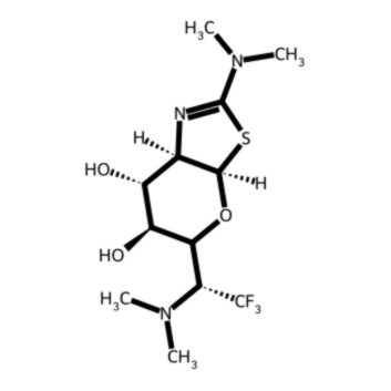 CN(C)C1=N[C@@H]2[C@@H](O)[C@H](O)C([C@@H](N(C)C)C(F)(F)F)O[C@@H]2S1